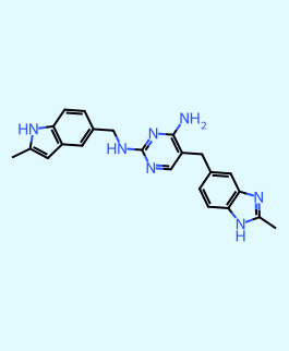 Cc1cc2cc(CNc3ncc(Cc4ccc5[nH]c(C)nc5c4)c(N)n3)ccc2[nH]1